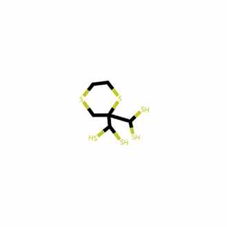 SC(S)C1(C(S)S)CSCCS1